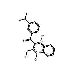 CC(C)c1cccc(C(=O)c2c(CBr)[n+]([O-])c3ccccc3[n+]2[O-])c1